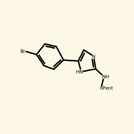 CCCCCNc1ncc(-c2ccc(Br)cc2)[nH]1